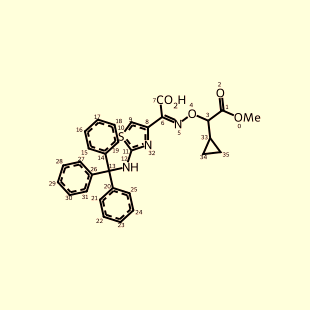 COC(=O)C(ON=C(C(=O)O)c1csc(NC(c2ccccc2)(c2ccccc2)c2ccccc2)n1)C1CC1